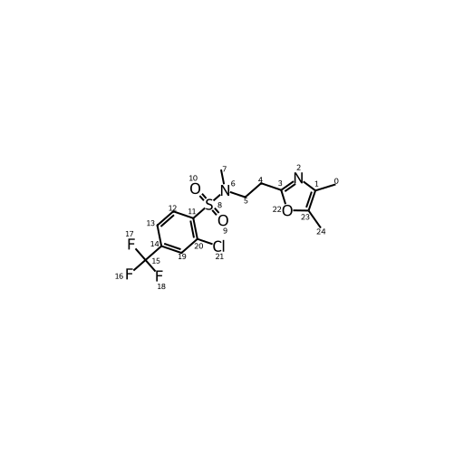 Cc1nc(CCN(C)S(=O)(=O)c2ccc(C(F)(F)F)cc2Cl)oc1C